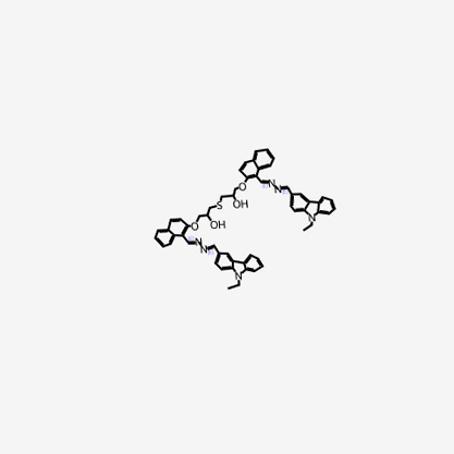 CCn1c2ccccc2c2cc(/C=N/N=C/c3c(OCC(O)CSCC(O)COc4ccc5ccccc5c4/C=N/N=C/c4ccc5c(c4)c4ccccc4n5CC)ccc4ccccc34)ccc21